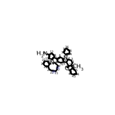 CC12CCC3C(C4=C(C=C(c5ccc(N)cc5N5C/C=C\C=C/Cc6ccccc65)CC4)N3c3ccccc3)C1Oc1ccccc12